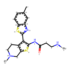 CC[C@H](C)NCCC(=O)Nc1sc2c(c1-c1nc3cc(C)ccc3s1)CCN(C(C)C)C2